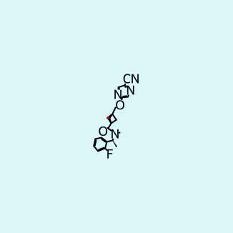 C[C@@H](c1ccccc1F)N(C)C(=O)C12CC(COc3cnc(C#N)cn3)(C1)C2